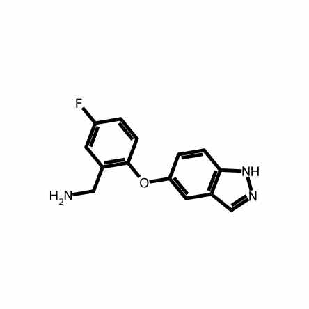 NCc1cc(F)ccc1Oc1ccc2[nH]ncc2c1